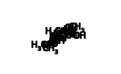 CC[C@H]1[C@@H](O)[C@H]2C3CCC([C@H](C)CCNC(=O)NS(=O)(=O)c4ccc(N(C)C)cc4)[C@@]3(C)CCC2[C@@]2(C)CC[C@@H](O)C[C@@H]12